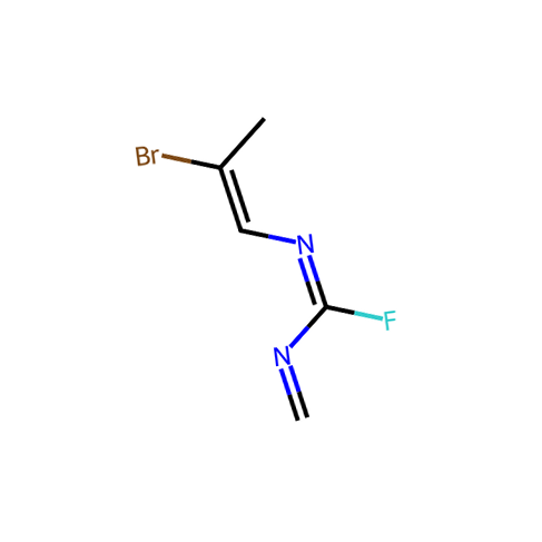 C=N/C(F)=N\C=C(/C)Br